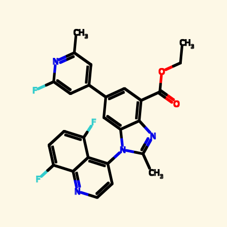 CCOC(=O)c1cc(-c2cc(C)nc(F)c2)cc2c1nc(C)n2-c1ccnc2c(F)ccc(F)c12